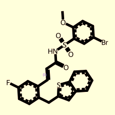 COc1ccc(Br)cc1S(=O)(=O)NC(=O)/C=C/c1cc(F)ccc1Cc1cc2ccccc2s1